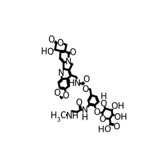 CNCCC(=O)Nc1cc(COC(=O)NCc2c3c(nc4cc5c(cc24)OCO5)-c2cc4c(c(=O)n2C3)COC(=O)[C@H]4O)ccc1OC1OC(C(=O)O)C(O)C(O)C1O